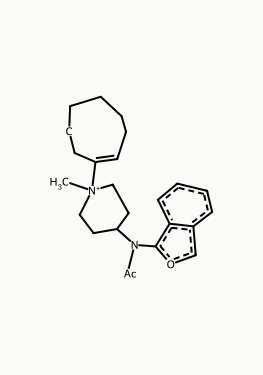 CC(=O)N(c1occ2ccccc12)C1CC[N+](C)(/C2=C/CCCCCC2)CC1